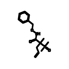 C=CCC(C)(C(=O)NOCc1ccccc1)P(C)(C)=O